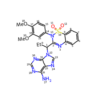 CCC(C1=Nc2ccccc2S(=O)(=O)N1c1ccc(OC)c(OC)c1)n1cnc2c(N)ncnc21